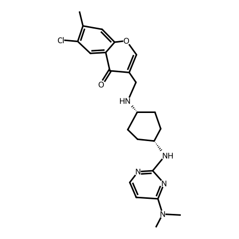 Cc1cc2occ(CN[C@H]3CC[C@@H](Nc4nccc(N(C)C)n4)CC3)c(=O)c2cc1Cl